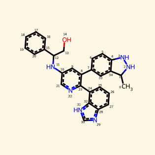 CC1NNc2ccc(-c3cc(NC(CO)c4ccccc4)cnc3-c3cccc4nc[nH]c34)cc21